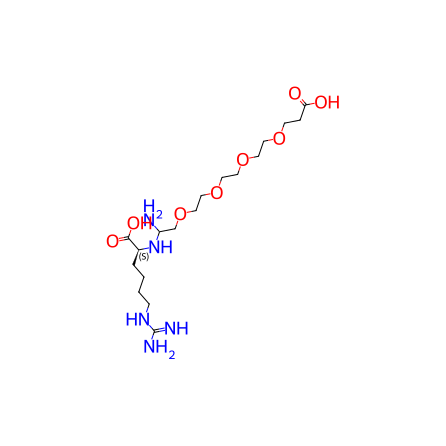 N=C(N)NCCCC[C@H](NC(N)COCCOCCOCCOCCC(=O)O)C(=O)O